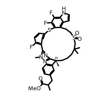 COC(=O)C(C)Cc1cccc([C@@]2(C)CCCC(C)(C)CS(=O)(=O)CCc3c(c(F)c(F)c4[nH]ccc34)Sc3ccc(F)c(c3)-c3nc2nn3C)c1